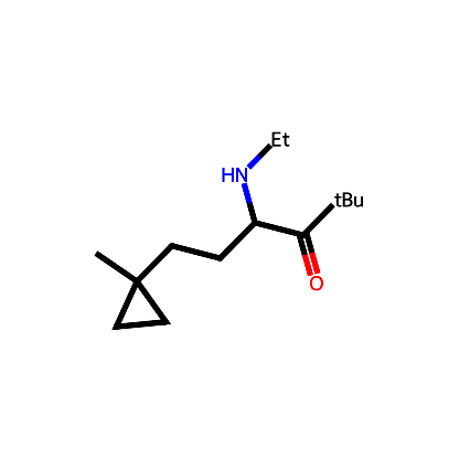 CCNC(CCC1(C)CC1)C(=O)C(C)(C)C